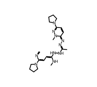 C=N/C(=C\C=C(/NC)NN/C(C)=N/N=c1/ccc(N2CCCC2)nn1C)N1CCCC1